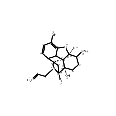 C=CCN1CC[C@@]23C4C5=C(O)C=CC4C[C@@H]1[C@]2(O)CCC(NC)[C@@H]3O5